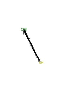 SCCCCCCCCCCCCCCCCCCCCCCCCCCCCCCCCCCCC[SiH](Cl)Cl